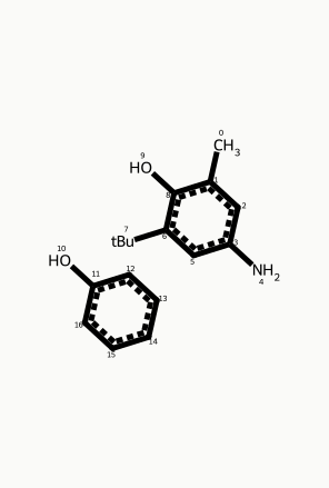 Cc1cc(N)cc(C(C)(C)C)c1O.Oc1ccccc1